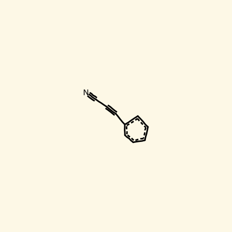 N#CC#Cc1ccccc1